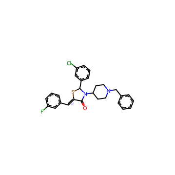 O=C1/C(=C/c2cccc(F)c2)SC(c2cccc(Cl)c2)N1C1CCN(Cc2ccccc2)CC1